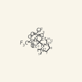 CCC(CC)(N1[N+](C)(C)CC[N+]1(C)C)N(S(=O)(=O)C(F)(F)F)S(=O)(=O)C(F)(F)F